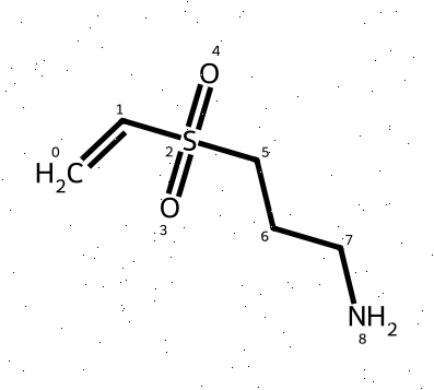 C=CS(=O)(=O)CCCN